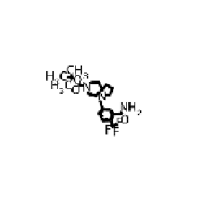 CC(C)(C)OC(=O)N1CCC2(CCCN2Cc2ccc(C(F)(F)F)c(C(N)=O)c2)CC1